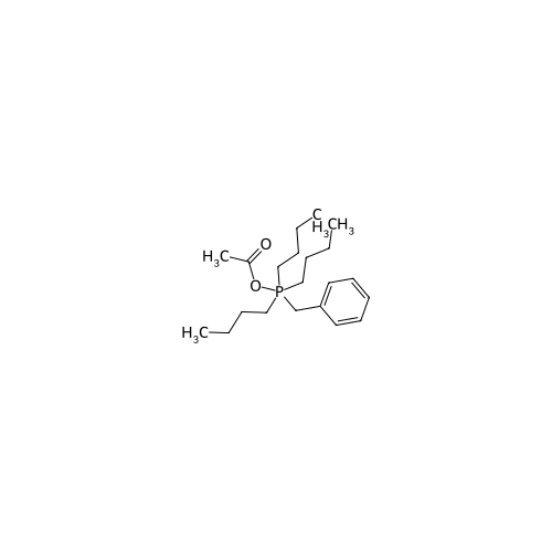 CCCCP(CCCC)(CCCC)(Cc1ccccc1)OC(C)=O